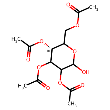 CC(=O)OCC1OC(O)C(OC(C)=O)C(OC(C)=O)[C@@H]1OC(C)=O